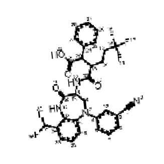 N#Cc1cccc(N2C[C@H](NC(=O)C(CCC(F)(F)F)C(C(=O)O)c3ccccc3)C(=O)Nc3c(C(F)F)cccc32)c1